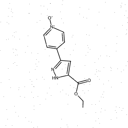 CCOC(=O)c1cc(-c2cc[n+]([O-])cc2)n[nH]1